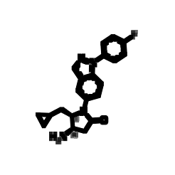 N[C@@H]1CC(=O)N(c2ccc3c(cnn3-c3ccc(F)cc3)c2)[C@@H]1CC1CC1